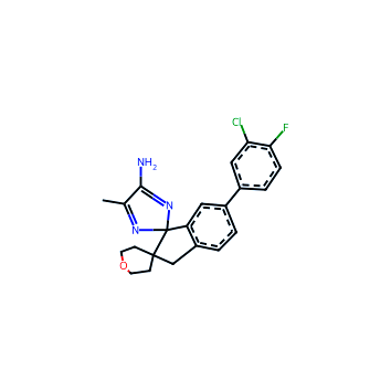 CC1=NC2(N=C1N)c1cc(-c3ccc(F)c(Cl)c3)ccc1CC21CCOCC1